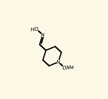 CON1CCC(C=NO)CC1